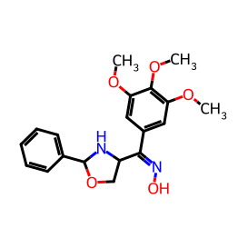 COc1cc(/C(=N/O)C2COC(c3ccccc3)N2)cc(OC)c1OC